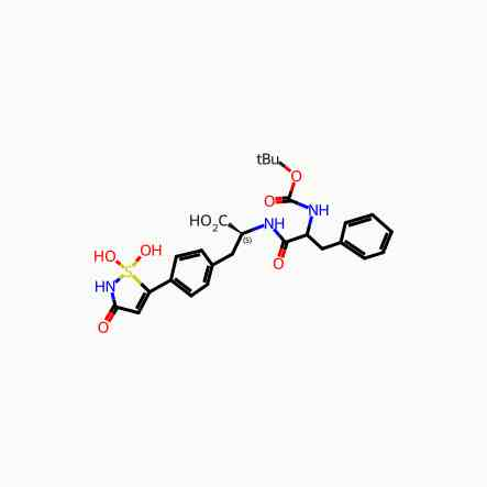 CC(C)(C)OC(=O)NC(Cc1ccccc1)C(=O)N[C@@H](Cc1ccc(C2=CC(=O)NS2(O)O)cc1)C(=O)O